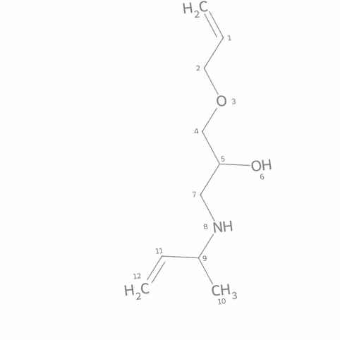 C=CCOCC(O)CNC(C)C=C